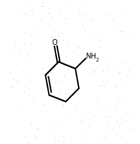 NC1CCC=CC1=O